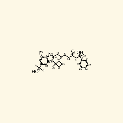 CC(C)(O)c1cc(F)c2nc(CCCCC(=O)CC(C)(O)c3ccccc3)n(C3(C)CCC3)c2c1